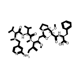 C=C(CC)[C@@H]([C@@H](CC(=O)N1CCC[C@H]1[C@H](OC)[C@@H](C)C(=O)N[C@@H](Cc1ccccc1)C(=O)O)OC)N(C)C(=O)[C@@H](NC(=O)[C@H](C(C)C)N(C)Cc1ccnc(N)c1)C(C)C